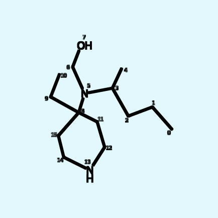 CCCC(C)N(CO)C1(CC)CCNCC1